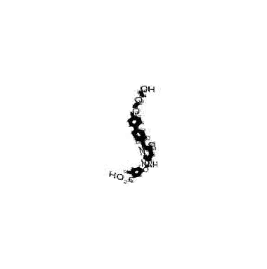 Cc1ccc(Oc2nc3nc(-c4ccc(-c5ccc(COCCOCCO)cc5)cc4)c(Cl)cc3[nH]2)cc1C(=O)O